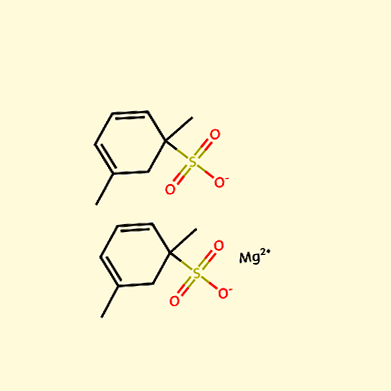 CC1=CC=CC(C)(S(=O)(=O)[O-])C1.CC1=CC=CC(C)(S(=O)(=O)[O-])C1.[Mg+2]